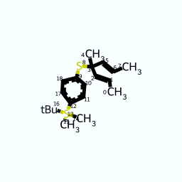 CC=CC(C)(C=CC)Sc1ccc(S(C)(C)C(C)(C)C)cc1